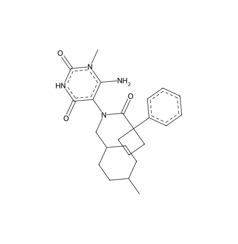 CC1CCC(CN(C(=O)C2(c3ccccc3)CCC2)c2c(N)n(C)c(=O)[nH]c2=O)CC1